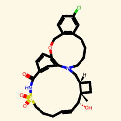 C[C@]12CC[C@H]1CN1CCCCc3cc(Cl)ccc3COc3ccc(cc31)C(=O)NS(=O)(=O)CCC/C=C/[C@H]2O